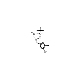 COC[C@@H](Cn1cc(Br)c(C)n1)O[Si](C)(C)C(C)(C)C